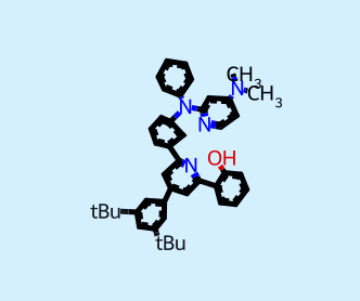 CN(C)c1ccnc(N(c2ccccc2)c2cccc(-c3cc(-c4cc(C(C)(C)C)cc(C(C)(C)C)c4)cc(-c4ccccc4O)n3)c2)c1